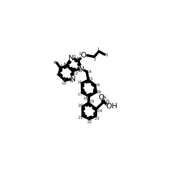 CCCOc1nc2c(C)ccnc2n1Cc1ccc(-c2ccccc2C(=O)O)cc1